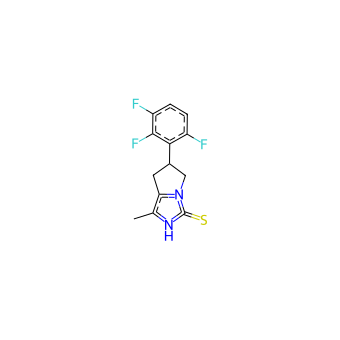 Cc1[nH]c(=S)n2c1CC(c1c(F)ccc(F)c1F)C2